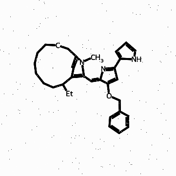 CCC1CCCCCCCCc2cc1c(/C=C1\N=C(c3ccc[nH]3)C=C1OCc1ccccc1)n2C